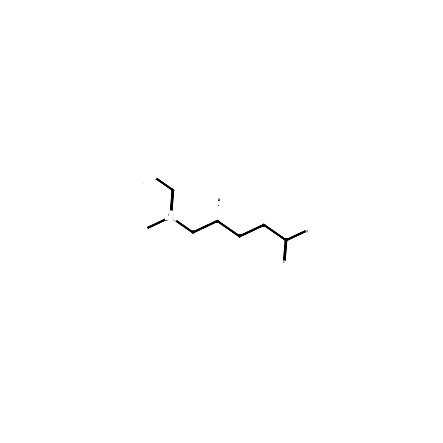 CCC(O)CC[C@@H](O)CN(C)CC(=O)O